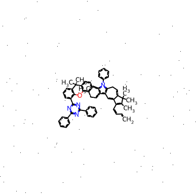 C=C/C=C\C1=C(C)C(C)(C)C2=CCc3c(c(=C/Cc4cccc5c4Oc4c(-c6nc(-c7ccccc7)nc(-c7ccccc7)n6)cccc4C5(C)C)/c(=C\C)n3-c3ccccc3)C=C21